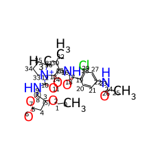 CCO[C@H]1CC(=O)O[C@H]1NC(=O)[N+]1(C(=O)[C@@H](NC(=O)c2ccc(NC(C)=O)cc2Cl)C(C)C)CCCC1